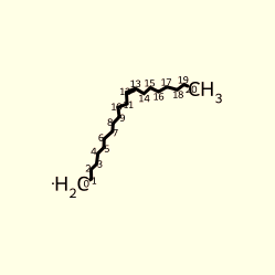 [CH2]CCCCCCCCCCC/C=C\CCCCCCC